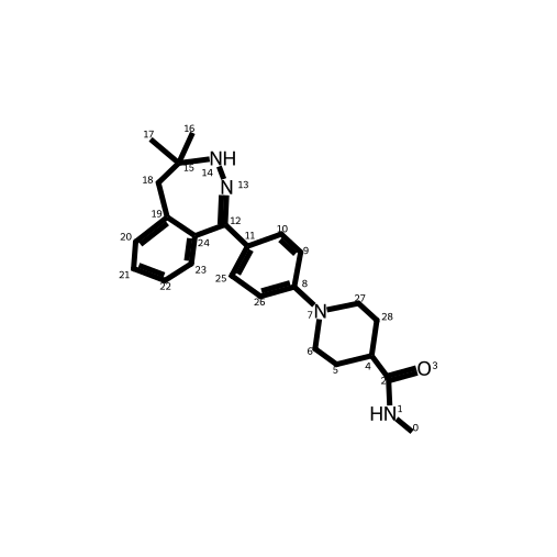 CNC(=O)C1CCN(c2ccc(C3=NNC(C)(C)Cc4ccccc43)cc2)CC1